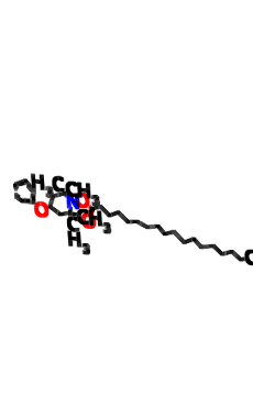 CCCCCCCCCCCCCCCCCC(=O)ON1C(C)(C)CC(Oc2ccccc2)CC1(C)C